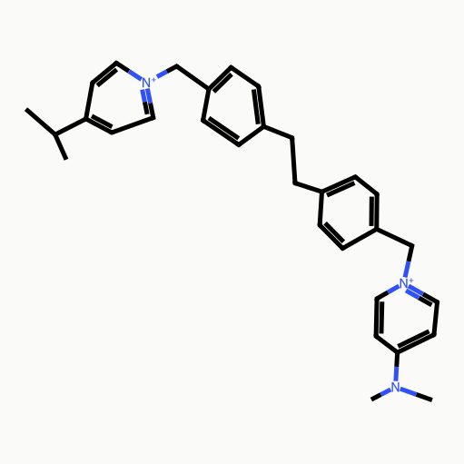 CC(C)c1cc[n+](Cc2ccc(CCc3ccc(C[n+]4ccc(N(C)C)cc4)cc3)cc2)cc1